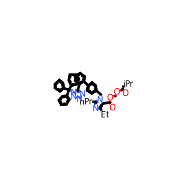 CCCc1nc(CC)c(C(=O)OCOC(=O)C(C)C)n1Cc1ccc(-c2ccccc2-c2nnnn2C(c2ccccc2)(c2ccccc2)c2ccccc2)cc1